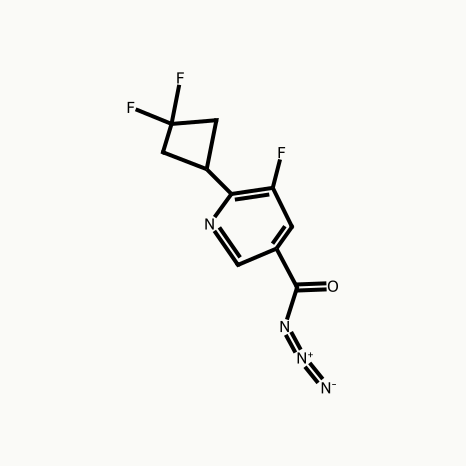 [N-]=[N+]=NC(=O)c1cnc(C2CC(F)(F)C2)c(F)c1